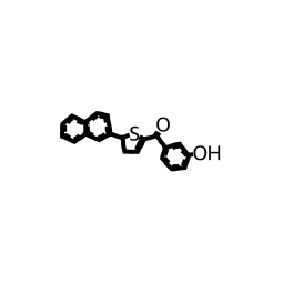 O=C(C1=CCC(c2ccc3ccccc3c2)S1)c1cccc(O)c1